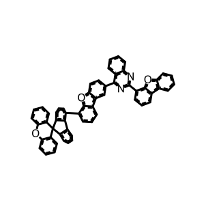 c1ccc2c(c1)Oc1ccccc1C21c2ccccc2-c2c(-c3cccc4c3oc3ccc(-c5nc(-c6cccc7c6oc6ccccc67)nc6ccccc56)cc34)cccc21